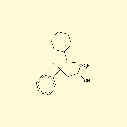 CCOC(=O)C(O)CC(C)(c1ccccc1)C(C)C1CCCCC1